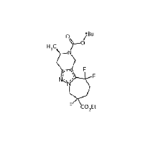 CCOC(=O)C1(F)CCC(F)(F)c2c3c(nn2C1)C[C@@H](C)N(C(=O)OC(C)(C)C)C3